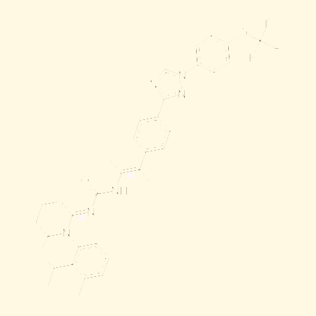 C/C(NC(=O)/N=C1\SCCC(C)N1c1cccc(C)c1C(C)C)=C(/C)c1ccc(-c2ncn(-c3ccc(OC(F)(F)F)cc3)n2)cc1